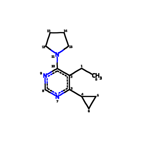 CCc1c(C2CC2)ncnc1N1CCCC1